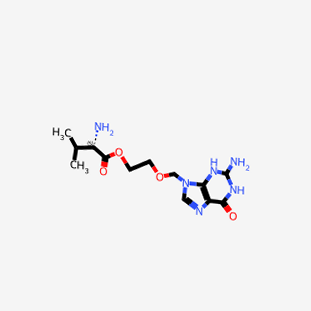 CC(C)[C@H](N)C(=O)OCCOCn1cnc2c1NC(N)NC2=O